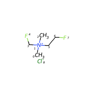 C[N+](C)(CF)CCF.[Cl-]